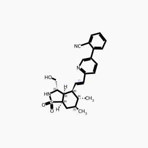 C[C@H]1[C@H](/C=C/c2ccc(-c3ccccc3C#N)cn2)[C@H]2[C@@H](C[C@@H]1C)S(=O)(=O)N[C@@H]2CO